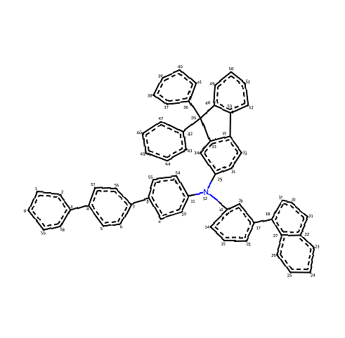 c1ccc(-c2ccc(-c3ccc(N(c4cccc(-c5cccc6ccccc56)c4)c4ccc5c(c4)C(c4ccccc4)(c4ccccc4)c4ccccc4-5)cc3)cc2)cc1